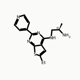 CCc1cc2c(NC[C@@H](C)N)nc(-c3ccncc3)nc2s1